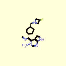 C=N/C(=C1/c2cc[nH]c2N=CN1N)[C@H]1CC[C@H](CN2CC(F)C2)CC1